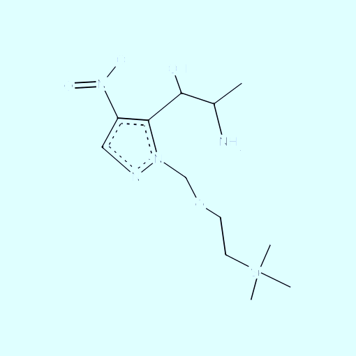 CC(N)C(O)c1c([N+](=O)[O-])cnn1COCC[Si](C)(C)C